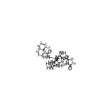 Cc1cccc2cccc(C(=O)N[C@H]3CN4C(=N)NC(CN5C(=O)CCC5=O)C5NC(=N)NC54[C@@H]3O)c12